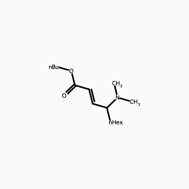 CCCCCCC(/C=C/C(=O)OCCCC)N(C)C